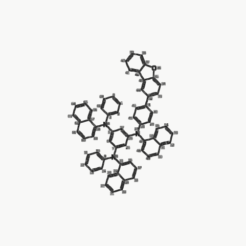 c1ccc(N(c2cc(N(c3ccccc3)c3cccc4ccccc34)cc(N(c3ccc(-c4ccc5oc6ccccc6c5c4)cc3)c3cccc4ccccc34)c2)c2cccc3ccccc23)cc1